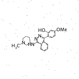 COc1ccc(-c2nnc(NC3CCCN(C)C3)c3ccccc23)c(O)c1